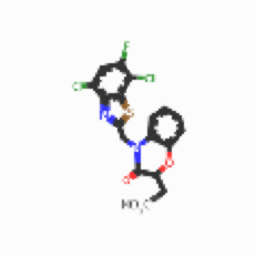 O=C(O)CC1Oc2ccccc2N(Cc2nc3c(Cl)cc(F)c(Cl)c3s2)C1=O